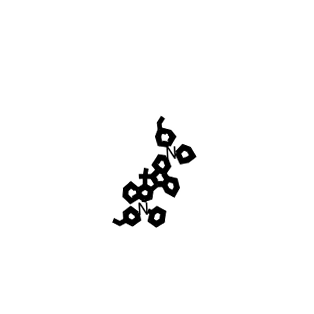 CCc1ccc(N(c2ccccc2)c2ccc3c4c(c5ccccc5c3c2)-c2cc(N(c3ccccc3)c3ccc(CC)cc3)c3ccccc3c2C4(C)C)cc1